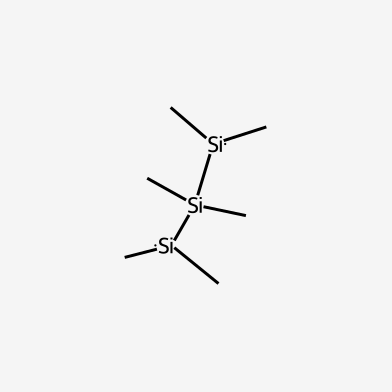 C[Si](C)[Si](C)(C)[Si](C)C